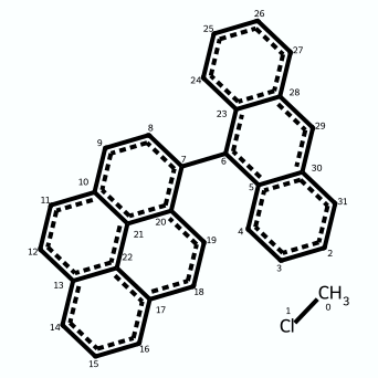 CCl.c1ccc2c(-c3ccc4ccc5cccc6ccc3c4c56)c3ccccc3cc2c1